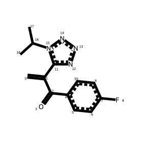 C=C(C(=O)c1ccc(F)cc1)c1nnnn1C(C)C